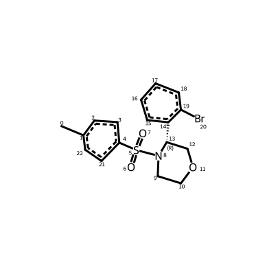 Cc1ccc(S(=O)(=O)N2CCOC[C@H]2c2ccccc2Br)cc1